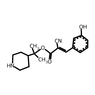 CC(C)(OC(=O)/C(C#N)=C/c1cccc(O)c1)C1CCNCC1